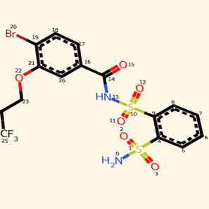 NS(=O)(=O)c1ccccc1S(=O)(=O)NC(=O)c1ccc(Br)c(OCCC(F)(F)F)c1